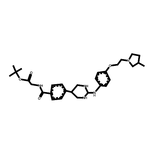 CC1CCN(CCOc2ccc(NC3NCC(c4ccc(C(=O)NCC(=O)OC(C)(C)C)cc4)CN3)cc2)C1